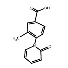 Cc1cc(C(=O)O)ccc1-n1ccccc1=O